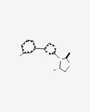 C[C@@H]1COC(=O)N1c1nc(-c2cccc(Br)c2)cs1